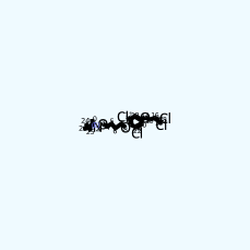 C/C(=N\OCCCCOc1c(Cl)cc(OCC=C(Cl)Cl)cc1Cl)C(C)(C)C